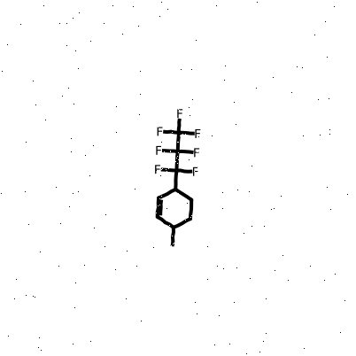 CC1C=CC(C(F)(F)C(F)(F)C(F)(F)F)CC1